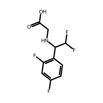 O=C(O)CNC(c1ccc(F)cc1F)C(F)F